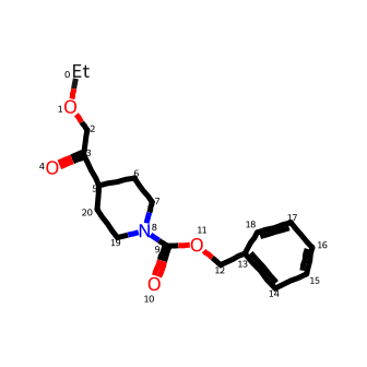 CCOCC(=O)C1CCN(C(=O)OCc2ccccc2)CC1